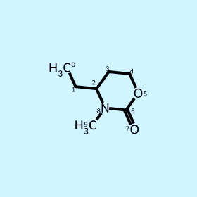 CCC1CCOC(=O)N1C